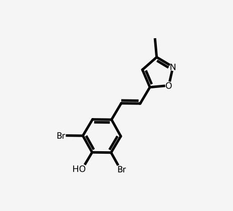 Cc1cc(C=Cc2cc(Br)c(O)c(Br)c2)on1